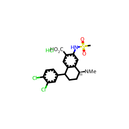 CN[C@H]1CCC(c2ccc(Cl)c(Cl)c2)c2cc(C(=O)O)c(NS(C)(=O)=O)cc21.Cl